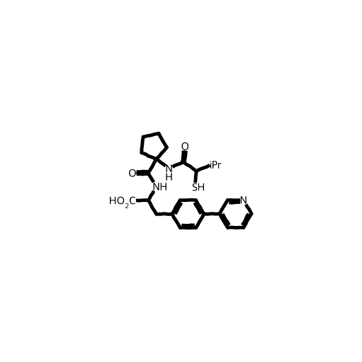 CC(C)C(S)C(=O)NC1(C(=O)NC(Cc2ccc(-c3cccnc3)cc2)C(=O)O)CCCC1